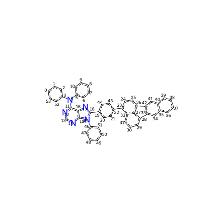 c1ccc(N(c2ccccc2)c2ncnc3c2nc(-c2ccc(-c4ccc5c6c(cccc46)-c4cc6ccccc6cc4-5)cc2)n3-c2ccccc2)cc1